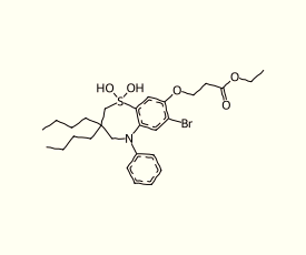 CCCCC1(CCCC)CN(c2ccccc2)c2cc(Br)c(OCCC(=O)OCC)cc2S(O)(O)C1